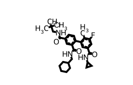 Cc1c(F)cc(C(=O)NC2CC2)cc1-c1ccc(C(=O)NCC(C)(C)C)cc1C(=O)NCC1CCCCC1